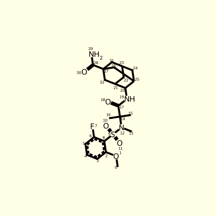 COc1cccc(F)c1S(=O)(=O)N(C)C(C)(C)C(=O)NC1C2CC3CC1CC(C(N)=O)(C3)C2